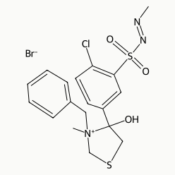 CN=NS(=O)(=O)c1cc(C2(O)CSC[N+]2(C)Cc2ccccc2)ccc1Cl.[Br-]